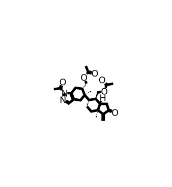 C=C1C(=O)C[C@H]2[C@H](COC(C)=O)[C@@H]([C@@]3(C)Cc4cnn(C(C)=O)c4C[C@@H]3COC(C)=O)CC[C@]12C